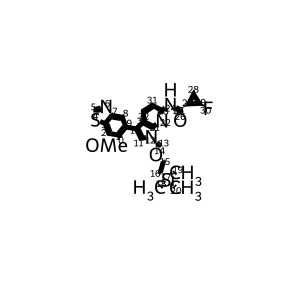 COc1cc2scnc2cc1-c1cn(COCC[Si](C)(C)C)c2nc(NC(=O)[C@@H]3C[C@@H]3F)ccc12